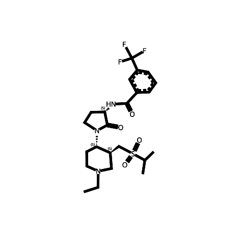 CCN1CC[C@H](N2CC[C@H](NC(=O)c3cccc(C(F)(F)F)c3)C2=O)[C@@H](CS(=O)(=O)C(C)C)C1